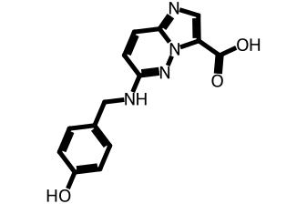 O=C(O)c1cnc2ccc(NCc3ccc(O)cc3)nn12